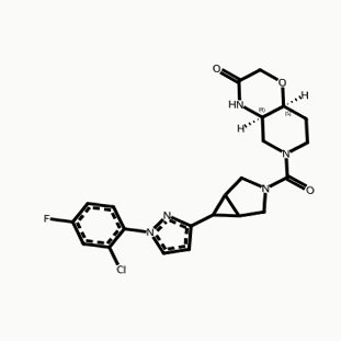 O=C1CO[C@H]2CCN(C(=O)N3CC4C(C3)C4c3ccn(-c4ccc(F)cc4Cl)n3)C[C@H]2N1